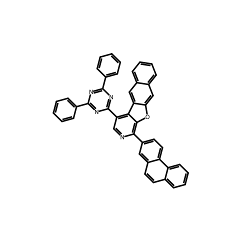 c1ccc(-c2nc(-c3ccccc3)nc(-c3cnc(-c4ccc5c(ccc6ccccc65)c4)c4oc5cc6ccccc6cc5c34)n2)cc1